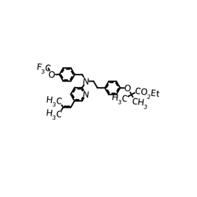 CCOC(=O)C(C)(C)Oc1ccc(CCN(Cc2ccc(OC(F)(F)F)cc2)c2ccc(C=C(C)C)cn2)cc1